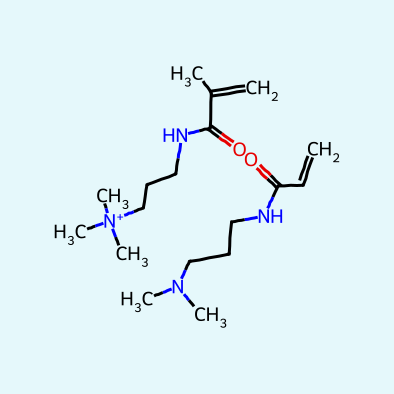 C=C(C)C(=O)NCCC[N+](C)(C)C.C=CC(=O)NCCCN(C)C